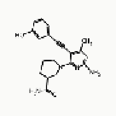 Cc1nc(N)nc(N2CCCC(C(N)=O)C2)c1C#Cc1cccc(O)c1